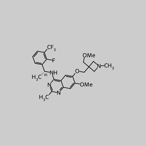 COCC1(COc2cc3c(N[C@H](C)c4cccc(C(F)(F)F)c4F)nc(C)nc3cc2OC)CN(C)C1